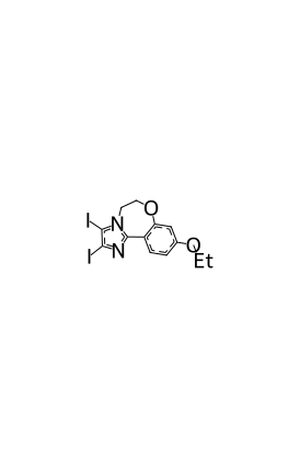 CCOc1ccc2c(c1)OCCn1c-2nc(I)c1I